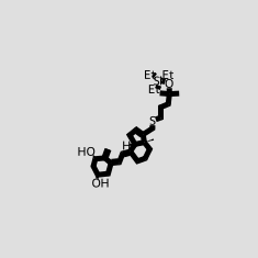 C=C1/C(=C\C=C2/CCC[C@]3(C)C(CSCCCC(C)(C)O[Si](CC)(CC)CC)=CC[C@@H]23)C[C@@H](O)C[C@@H]1O